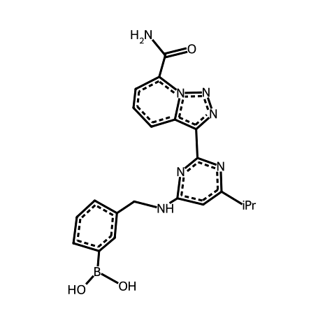 CC(C)c1cc(NCc2cccc(B(O)O)c2)nc(-c2nnn3c(C(N)=O)cccc23)n1